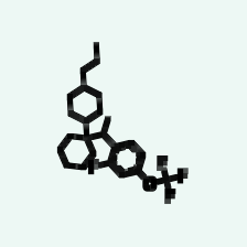 CCCC1CCC(C2(C(C)c3ccc(OC(F)(F)F)cc3F)CCCCC2)CC1